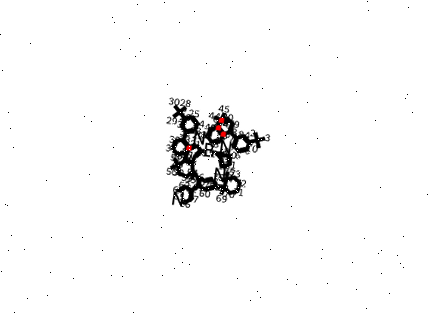 CC(C)(C)c1ccc(N2c3ccc4cc3B3c5cc6c(cc5N(c5ccc(C(C)(C)C)cc5-c5ccccc5)c5cc(C(C)(C)C)cc2c53)C(C)(C)CCC6(C)c2cc3c(cc2-c2ccncc2)C2(C)CCCCC2(C)N43)c(-c2ccccc2)c1